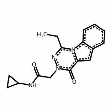 CCc1nn(CC(=O)NC2CC2)c(=O)c2cc3ccccc3n12